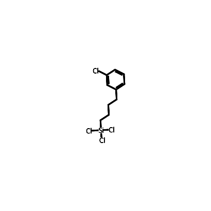 Clc1cccc(CCCC[Si](Cl)(Cl)Cl)c1